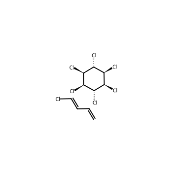 C=C/C=C/Cl.Cl[C@H]1[C@H](Cl)[C@@H](Cl)[C@@H](Cl)[C@H](Cl)[C@H]1Cl